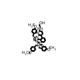 COc1ccc(CN(Cc2ccc(OC)cc2)S(=O)(=O)c2cccc(-c3ccc(NCCO)nc3)c2-c2nnn(Cc3ccc(OC)cc3)n2)cc1